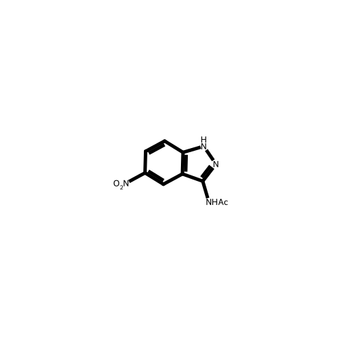 CC(=O)Nc1n[nH]c2ccc([N+](=O)[O-])cc12